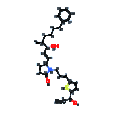 COC(=O)c1ccc(C=CCN2C(=O)CCC2C=C[C@@H](O)[C@@H](C)CCCCc2ccccc2)s1